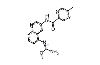 CO/C(N)=N\c1cccc2ncc(NC(=O)c3cnc(C)cn3)cc12